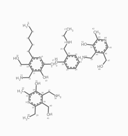 CCCCCc1nc(C)c(O)c(CN)c1CO.CCNCc1ccccc1O.CCc1nc(C)c(O)c(CN)c1CO.Cc1ncc(CO)c(CN)c1O